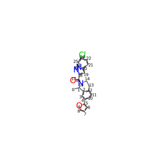 CC1c2cc(-c3ccco3)ccc2CCN1C(=O)c1cc2ccc(Cl)cn2n1